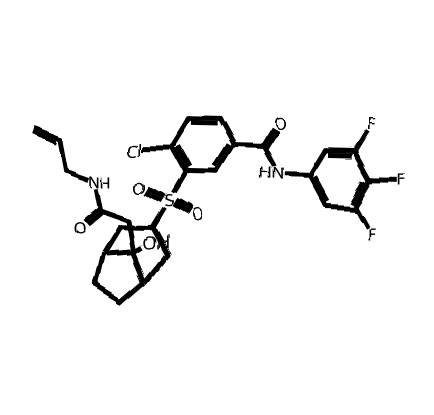 C=CCNC(=O)CC1(O)C2CCC1CC(S(=O)(=O)c1cc(C(=O)Nc3cc(F)c(F)c(F)c3)ccc1Cl)C2